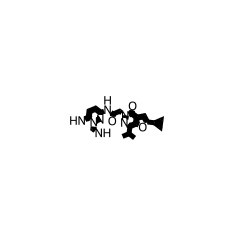 CC(C)c1nn(CC(=O)Nc2ccc(=N)n(C=N)n2)c(=O)c2cc(C3CC3)oc12